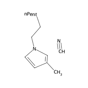 C#N.CCCCCCCn1ccc(C)c1